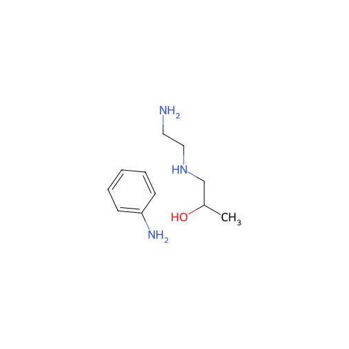 CC(O)CNCCN.Nc1ccccc1